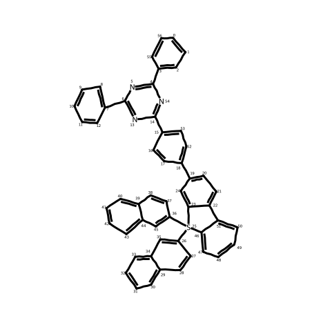 c1ccc(-c2nc(-c3ccccc3)nc(-c3ccc(-c4ccc5c(c4)S(c4ccc6ccccc6c4)(c4ccc6ccccc6c4)c4ccccc4-5)cc3)n2)cc1